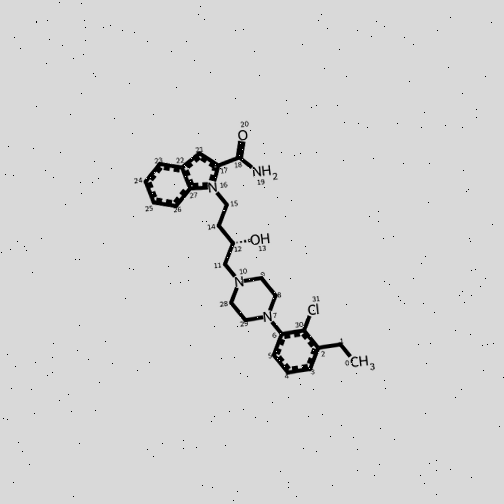 CCc1cccc(N2CCN(C[C@@H](O)CCn3c(C(N)=O)cc4ccccc43)CC2)c1Cl